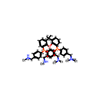 CCNCc1ccc(P(c2ccc(CN(CC)CC)cc2)c2cccc3c2Oc2c(P(c4ccc(CNCC)cc4)c4ccc(CN(CC)CC)cc4)cccc2C3(C)C)cc1